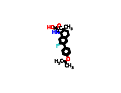 CC(C)Oc1ccc(-c2cc3c(cc2F)C(NC(=O)O)C(C)(C)CC3)cc1